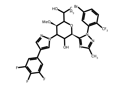 CO[C@H]1C(C(C)O)O[C@@H](c2nc(C)nn2-c2cc(Br)ccc2C(F)(F)F)C(O)C1n1cc(-c2cc(F)c(F)c(F)c2)cn1